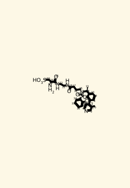 Cc1cnccc1-c1cccc([C@H](C)N(CCCC(=O)NCCNC(=O)[C@@H](N)CS(=O)(=O)O)S(=O)(=O)c2ccccc2C(F)(F)F)c1